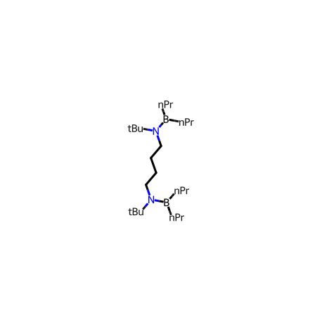 CCCB(CCC)N(CCCCN(B(CCC)CCC)C(C)(C)C)C(C)(C)C